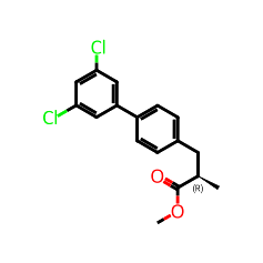 COC(=O)[C@H](C)Cc1ccc(-c2cc(Cl)cc(Cl)c2)cc1